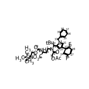 CC(=O)OCC(=O)N(CCC(NC(=O)OCC[Si](C)(C)C)C(=O)O)C(c1cc(-c2cc(F)ccc2F)cn1Cc1ccccc1)C(C)(C)C